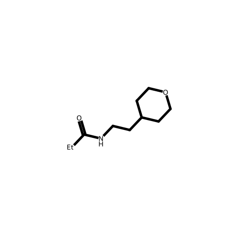 CCC(=O)NCCC1CCOCC1